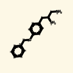 NCC(N)Cc1ccc(OCc2ccccc2)cc1